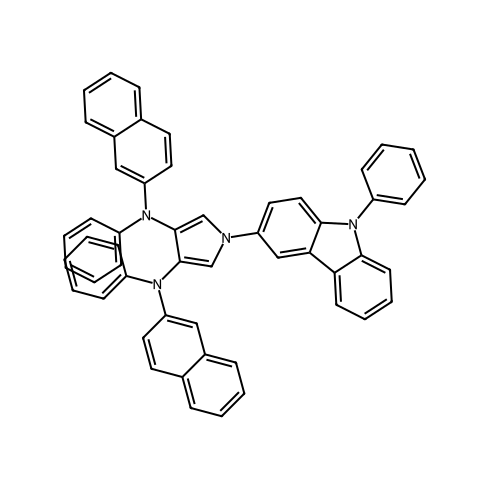 c1ccc(N(c2ccc3ccccc3c2)c2cn(-c3ccc4c(c3)c3ccccc3n4-c3ccccc3)cc2N(c2ccccc2)c2ccc3ccccc3c2)cc1